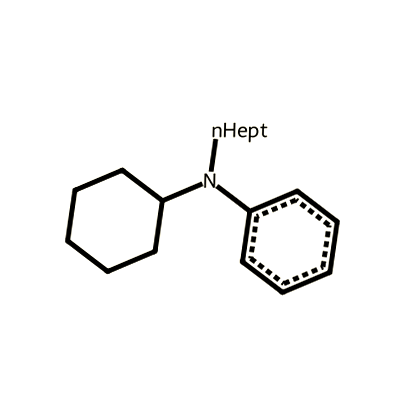 CCCCCCCN(c1ccccc1)C1CCCCC1